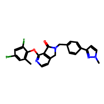 Cc1cc(F)cc(F)c1Oc1nccc2c1C(=O)N(Cc1ccc(-c3ccn(C)n3)cc1)C2